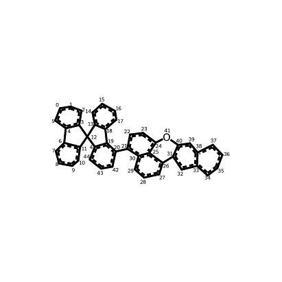 c1ccc2c(c1)-c1ccccc1C21c2ccccc2-c2c(-c3ccc4c5c(cccc35)-c3cc5ccccc5cc3O4)cccc21